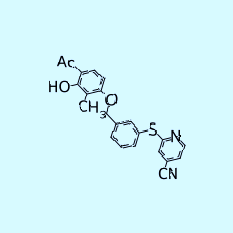 CC(=O)c1ccc(OCc2cccc(Sc3cc(C#N)ccn3)c2)c(C)c1O